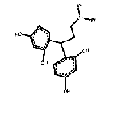 CC(C)N(CCC(c1ccc(O)cc1O)c1ccc(O)cc1O)C(C)C